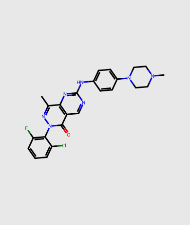 Cc1nn(-c2c(F)cccc2Cl)c(=O)c2cnc(Nc3ccc(N4CCN(C)CC4)cc3)nc12